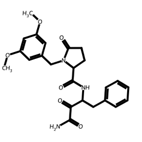 COc1cc(CN2C(=O)CCC2C(=O)NC(Cc2ccccc2)C(=O)C(N)=O)cc(OC)c1